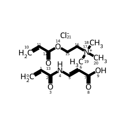 C=CC(=O)NC=CC(=O)O.C=CC(=O)OCC[N+](C)(C)C.[Cl-]